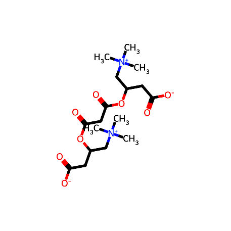 C[N+](C)(C)CC(CC(=O)[O-])OC(=O)CC(=O)OC(CC(=O)[O-])C[N+](C)(C)C